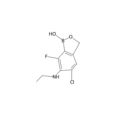 CCNc1c(Cl)cc2c(c1F)B(O)OC2